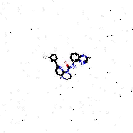 Cc1cnc2c(NC(=O)N3c4nc(-c5cccc(C(F)(F)F)c5)ccc4NCC[C@H]3C)cccc2n1